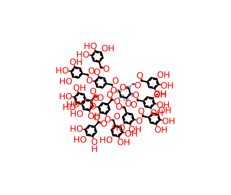 O=C(OC[C@H]1O[C@@H](OC(=O)c2cc(OC(=O)c3cc(O)c(O)c(O)c3)c(OC(=O)c3cc(O)c(O)c(O)c3)c(OC(=O)c3cc(O)c(O)c(O)c3)c2)[C@H](OC(=O)c2cc(OC(=O)c3cc(O)c(O)c(O)c3)c(OC(=O)c3cc(O)c(O)c(O)c3)c(OC(=O)c3cc(O)c(O)c(O)c3)c2)[C@@H](OC(=O)c2cc(O)c(O)c(OC(=O)c3cc(O)c(O)c(O)c3)c2)[C@@H]1OC(=O)c1cc(O)c(O)c(O)c1)c1cc(O)c(O)c(O)c1